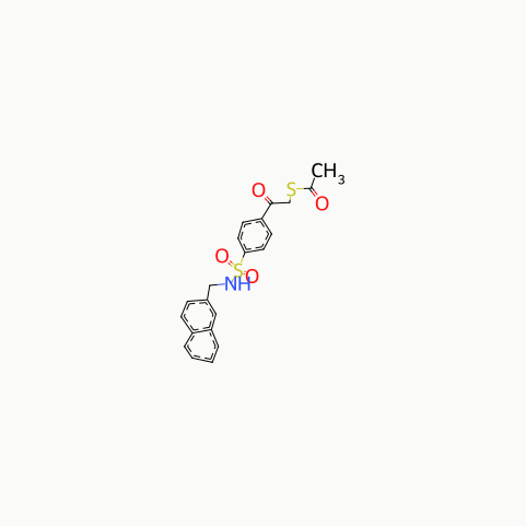 CC(=O)SCC(=O)c1ccc(S(=O)(=O)NCc2ccc3ccccc3c2)cc1